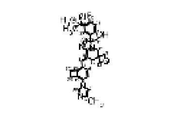 Cc1cn(-c2ccc(/C=C3\CC4(COC4)CN4C3=NOC4(CO)c3ccc(F)c([Si](C)(C)C)c3)c3c2CC3)cn1